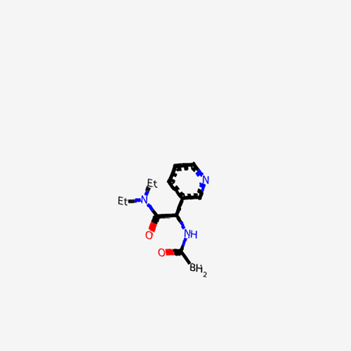 BC(=O)NC(C(=O)N(CC)CC)c1cccnc1